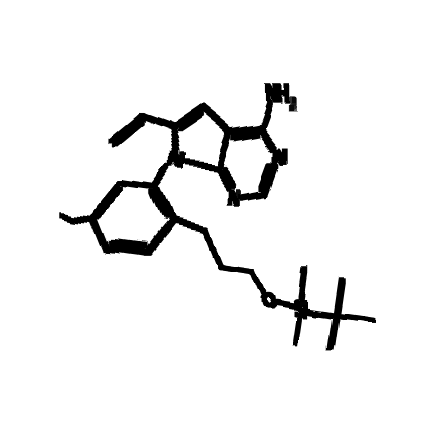 C=Cc1cc2c(N)ncnc2n1-c1cc(C)ccc1CCCO[Si](C)(C)C(C)(C)C